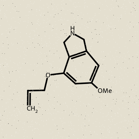 C=CCOc1cc(OC)cc2c1CNC2